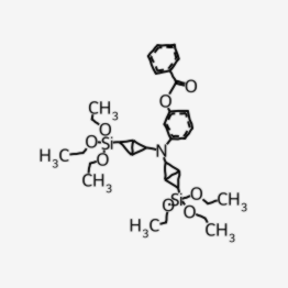 CCO[Si](OCC)(OCC)C1C2C1C2N(c1cccc(OC(=O)c2ccccc2)c1)C1C2C1C2[Si](OCC)(OCC)OCC